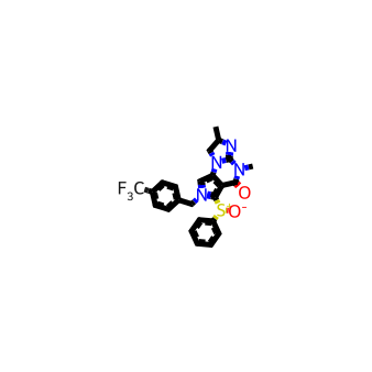 CC1CN2C(=N1)N(C)C(=O)c1c2cn(Cc2ccc(C(F)(F)F)cc2)c1[S+]([O-])c1ccccc1